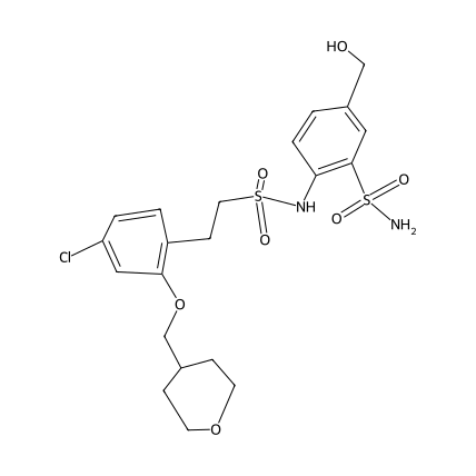 NS(=O)(=O)c1cc(CO)ccc1NS(=O)(=O)CCc1ccc(Cl)cc1OCC1CCOCC1